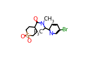 CN(C(=O)C1CCS(=O)(=O)CC1)C(c1ccc(Br)cn1)C(F)(F)F